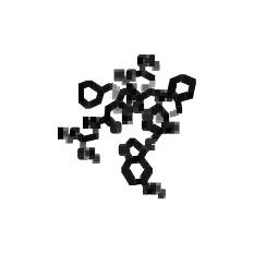 CC(C)CNC(=O)C[C@H](O)[C@H](CC1CCCCC1)NC(=O)[C@H](CC(C)C)NC(=O)[C@H](Cc1ccccc1)NC(=O)CC1COc2ccc(N)cc21